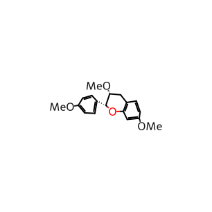 COc1ccc([C@H]2Oc3cc(OC)ccc3C[C@H]2OC)cc1